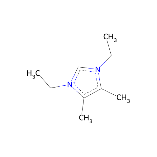 CCn1c[n+](CC)c(C)c1C